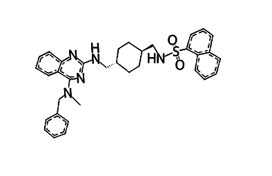 CN(Cc1ccccc1)c1nc(NC[C@H]2CC[C@H](CNS(=O)(=O)c3cccc4ccccc34)CC2)nc2ccccc12